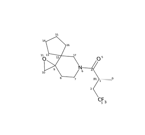 C[C@H](CC(F)(F)F)C(=O)N1CCC2(CO2)C2(CCCC2)C1